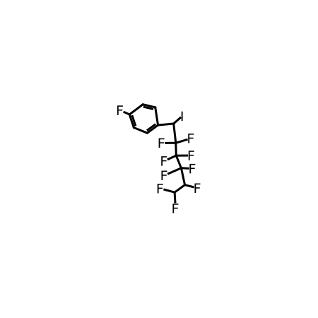 Fc1ccc(C(I)C(F)(F)C(F)(F)C(F)(F)C(F)C(F)F)cc1